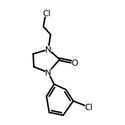 O=C1N(CCCl)CCN1c1cccc(Cl)c1